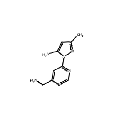 Cc1cc(N)n(-c2cc(CN)ncn2)n1